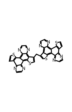 c1cnc2c(n1)c1ccsc1c1c3nccnc3c3c(Cc4csc5c4c4nccnc4c4c6sccc6c6nccnc6c54)csc3c21